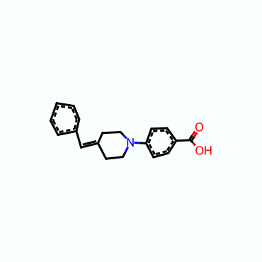 O=C(O)c1ccc(N2CCC(=Cc3ccccc3)CC2)cc1